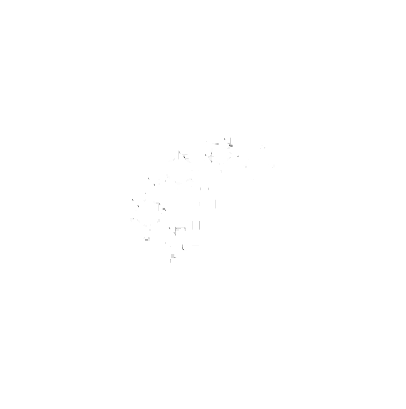 COc1cc(Nc2ncc3c(n2)N(C)C(C)(C)CO3)cnc1-n1cnc(C2CCC2)c1